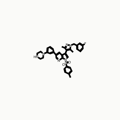 Cc1ccc(S(=O)(=O)n2cc(-c3c(C)nn(Cc4cccc(F)c4)c3C)c3cc(-c4cccc(N5CCNCC5)c4)cnc32)cc1